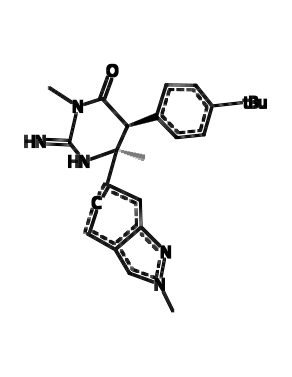 CN1C(=N)N[C@](C)(c2ccc3cn(C)nc3c2)[C@H](c2ccc(C(C)(C)C)cc2)C1=O